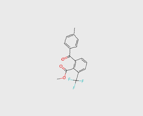 COC(=O)c1c(C(=O)c2ccc(C)cc2)cccc1C(F)(F)F